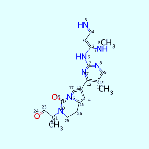 CN/C(=C\C=N)Nc1ncc(C)c(-c2cc3n(c2)C(=O)N(C(C)C=O)CC3)n1